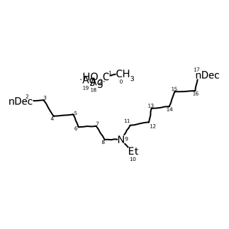 CC(=O)O.CCCCCCCCCCCCCCCCN(CC)CCCCCCCCCCCCCCCC.[Ag].[Ag]